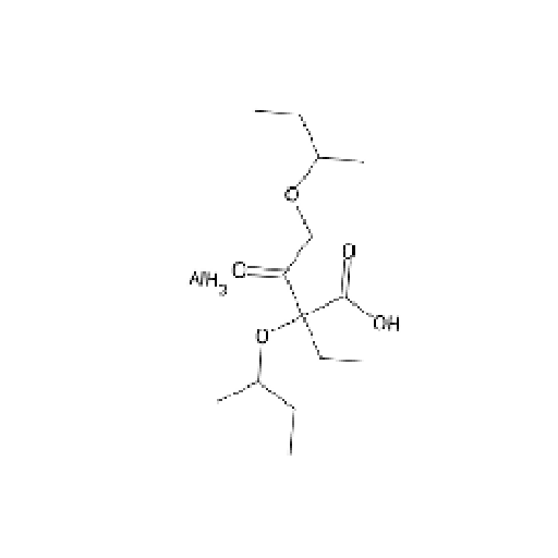 CCC(C)OCC(=O)C(CC)(OC(C)CC)C(=O)O.[AlH3]